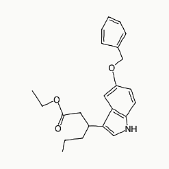 CCCC(CC(=O)OCC)c1c[nH]c2ccc(OCc3ccccc3)cc12